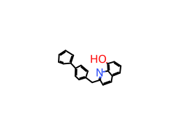 Oc1cccc2ccc(Cc3ccc(-c4ccccc4)cc3)nc12